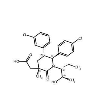 CC[C@H]([C@@H](C)O)N1C(=O)[C@](C)(CC(=O)O)C[C@H](c2cccc(Cl)c2)[C@H]1c1ccc(Cl)cc1